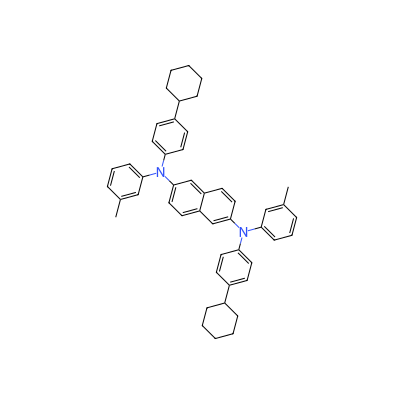 Cc1cccc(N(c2ccc(C3CCCCC3)cc2)c2ccc3cc(N(c4ccc(C5CCCCC5)cc4)c4cccc(C)c4)ccc3c2)c1